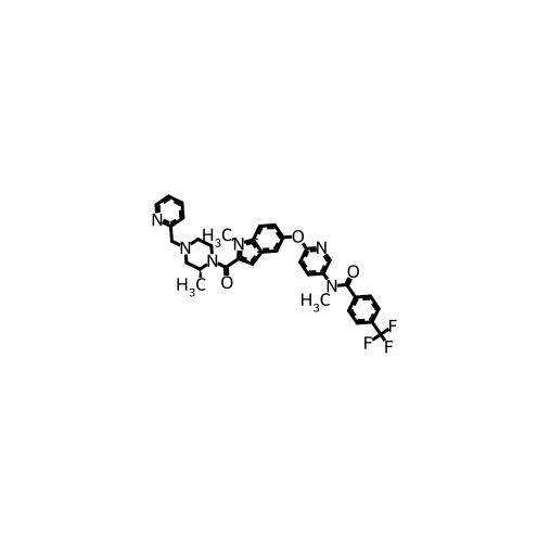 C[C@H]1CN(Cc2ccccn2)CCN1C(=O)c1cc2cc(Oc3ccc(N(C)C(=O)c4ccc(C(F)(F)F)cc4)cn3)ccc2n1C